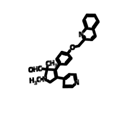 CN1CC(c2ccncc2)=C(c2ccc(OCc3ccc4ccccc4n3)cc2)C1(C)C=O